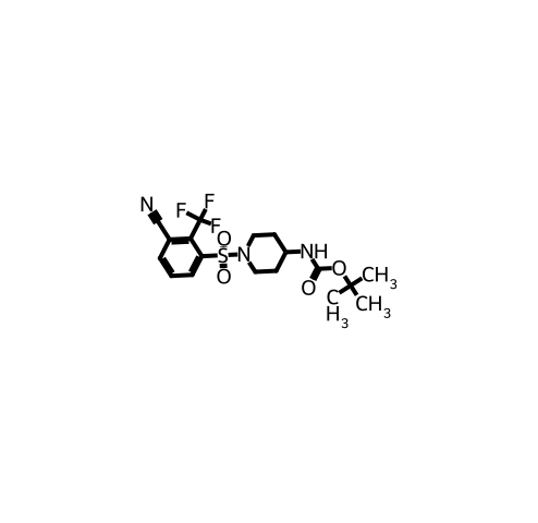 CC(C)(C)OC(=O)NC1CCN(S(=O)(=O)c2cccc(C#N)c2C(F)(F)F)CC1